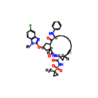 CC(C)n1c(O[C@H]2CC3C(=O)[C@@H](Nc4ccccc4)CCCCC/C=C\[C@@H]4C[C@@]4(C(=O)NS(=O)(=O)C4(C)CC4)NC(=O)[C@@H]3C2)nc2cc(F)ccc21